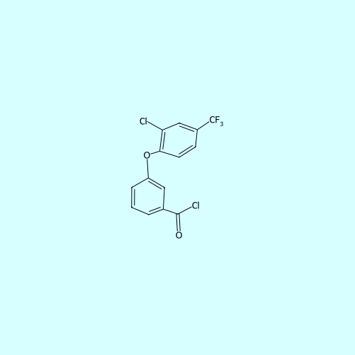 O=C(Cl)c1cccc(Oc2ccc(C(F)(F)F)cc2Cl)c1